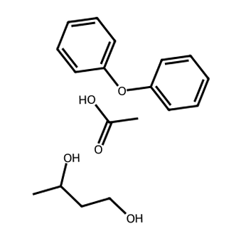 CC(=O)O.CC(O)CCO.c1ccc(Oc2ccccc2)cc1